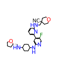 N#CC1(CNc2cccc(-c3cc(NC4CCC(NC[C@@H]5CCCO5)CC4)ncc3F)n2)CCOCC1